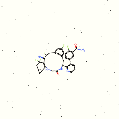 N=C1C2=C(NCC(=O)N[C@H](c3ncccc3-c3ccc(F)c(C(N)=O)c3)Cc3cc(F)cc(c3)CC1F)C1CC1CC2(F)F